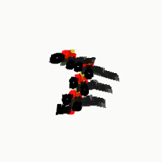 CCCCCCCCCc1ccccc1OP(=S)([S-])Oc1ccccc1CCCCCCCCC.CCCCCCCCCc1ccccc1OP(=S)([S-])Oc1ccccc1CCCCCCCCC.CCCCCCCCCc1ccccc1OP(=S)([S-])Oc1ccccc1CCCCCCCCC.CCCCCCCCCc1ccccc1OP(=S)([S-])Oc1ccccc1CCCCCCCCC.[O]=[Mo+4]